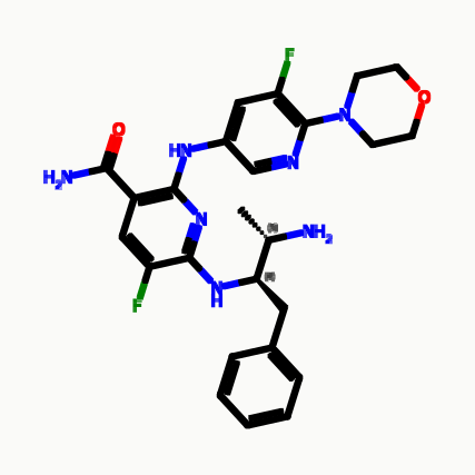 C[C@H](N)[C@@H](Cc1ccccc1)Nc1nc(Nc2cnc(N3CCOCC3)c(F)c2)c(C(N)=O)cc1F